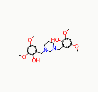 COc1cc(CN2CCCN(Cc3cc(OC)cc(OC)c3O)C2)c(O)c(OC)c1